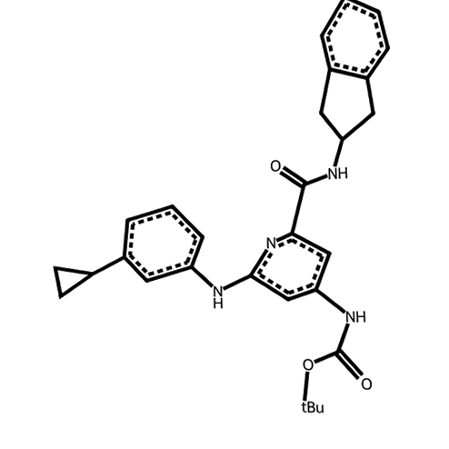 CC(C)(C)OC(=O)Nc1cc(Nc2cccc(C3CC3)c2)nc(C(=O)NC2Cc3ccccc3C2)c1